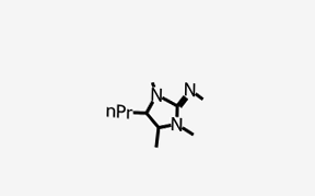 CCCC1C(C)N(C)/C(=N\C)N1C